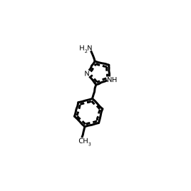 Cc1ccc(-c2nc(N)c[nH]2)cc1